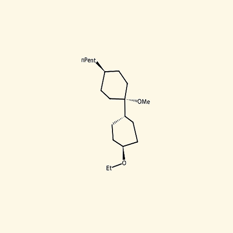 CCCCC[C@H]1CC[C@@](OC)([C@H]2CC[C@H](OCC)CC2)CC1